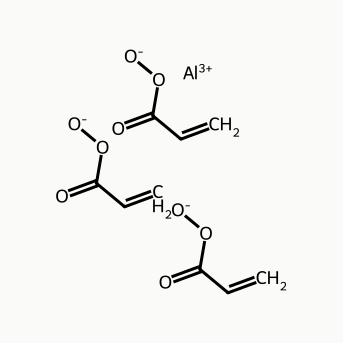 C=CC(=O)O[O-].C=CC(=O)O[O-].C=CC(=O)O[O-].[Al+3]